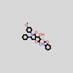 COc1ccc(-n2c(-c3ccccc3)cc3oc(=O)c(Sc4nc5ccccc5o4)c(O)c3c2=O)cc1